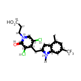 Cc1cc(C(F)(F)F)cc2c1cc(Cc1c(Cl)cn(CCC(=O)O)c(=O)c1Cl)n2C